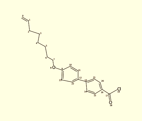 C=CCCCCCCOc1ccc(-c2ccc(C(=O)Cl)cc2)cc1